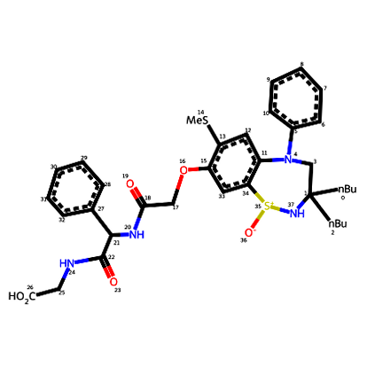 CCCCC1(CCCC)CN(c2ccccc2)c2cc(SC)c(OCC(=O)NC(C(=O)NCC(=O)O)c3ccccc3)cc2[S+]([O-])N1